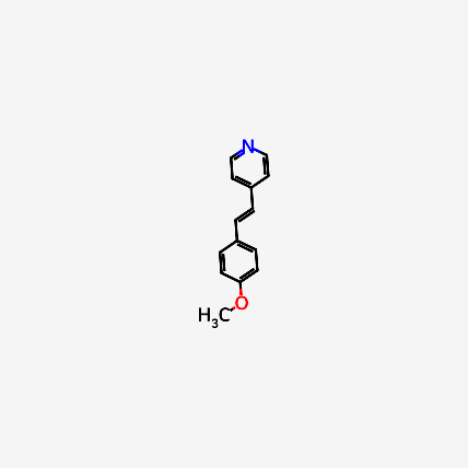 COc1ccc(C=Cc2ccncc2)cc1